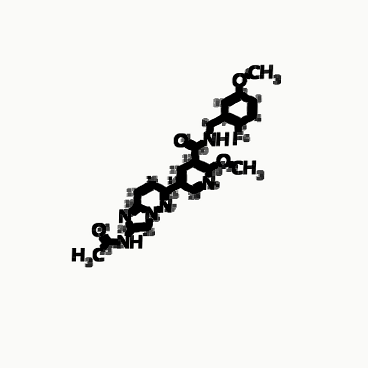 COc1ccc(F)c(CNC(=O)c2cc(-c3ccc4nc(NC(C)=O)cn4n3)cnc2OC)c1